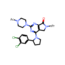 CCCN1Cc2c(nc(N3CCN(C(C)=O)CC3)nc2N2CCCC2c2ccc(Cl)c(Cl)c2)C1=O